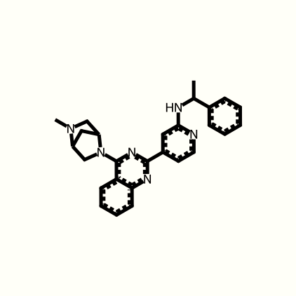 CC(Nc1cc(-c2nc(N3CC4CC3CN4C)c3ccccc3n2)ccn1)c1ccccc1